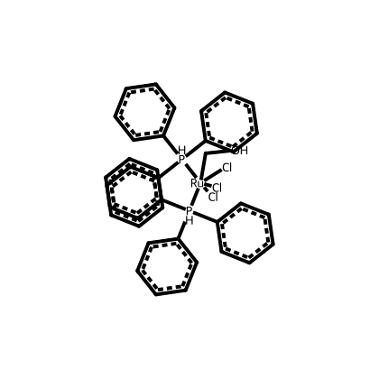 O[CH2][Ru]([Cl])([Cl])([Cl])([PH](c1ccccc1)(c1ccccc1)c1ccccc1)[PH](c1ccccc1)(c1ccccc1)c1ccccc1